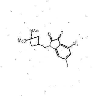 COC1(OC)CC(CN2C(=O)C(=O)c3c2cc(I)cc3C(F)(F)F)C1